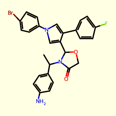 CC(c1ccc(N)cc1)N1C(=O)COC1c1cn(-c2ccc(Br)cc2)cc1-c1ccc(F)cc1